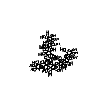 CC(=O)N[C@H]1[C@H](O[C@H]2[C@@H](O)[C@@H](CO)O[C@@H](O[C@H]3[C@H](O[C@@H]4O[C@@H](C)[C@@H](O)[C@@H](O)[C@@H]4O)[C@@H](NC(C)=O)[C@H](O[C@H]4[C@@H](O)[C@@H](CO)O[C@@H](O[C@H]5[C@H](O)[C@@H](NC(C)=O)[C@H](O[C@H]6[C@@H](O)[C@@H](CO)O[C@@H](O[C@H]7[C@H](O)[C@@H](O)[C@H](O)O[C@@H]7CO)[C@@H]6O)O[C@@H]5CO)[C@@H]4O)O[C@@H]3CO)[C@@H]2O)O[C@H](CO)[C@@H](O[C@@H]2O[C@H](CO)[C@H](O)[C@H](O)[C@H]2O)[C@@H]1O